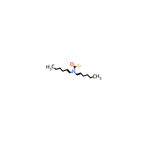 CCCCC=CN(C=CCCCC)C(=O)[S]